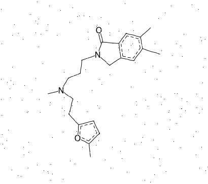 Cc1ccc(CCN(C)CCCN2Cc3cc(C)c(C)cc3C2=O)o1